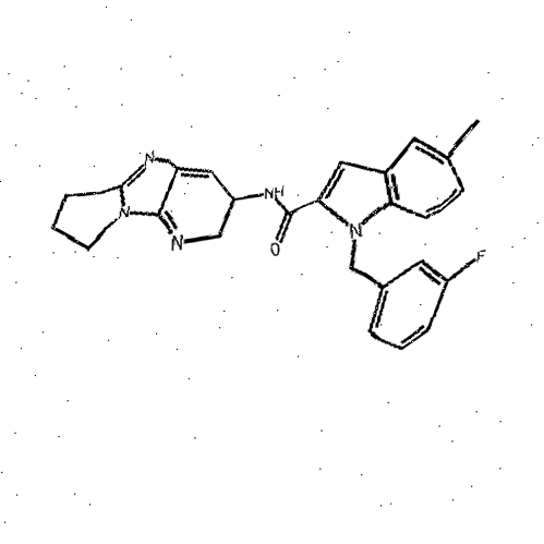 Cc1ccc2c(c1)cc(C(=O)NC1C=c3nc4n(c3=NC1)CCC4)n2Cc1cccc(F)c1